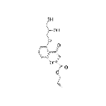 C=CCOC(=O)c1cc(=O)c2c(OCC(O)CS)cccc2o1